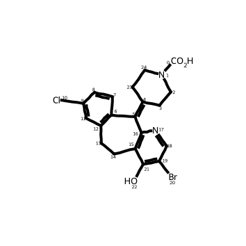 O=C(O)N1CCC(=C2c3ccc(Cl)cc3CCc3c2ncc(Br)c3O)CC1